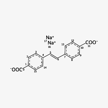 O=C([O-])c1ccc(C=Cc2ccc(C(=O)[O-])cc2)cc1.[Na+].[Na+]